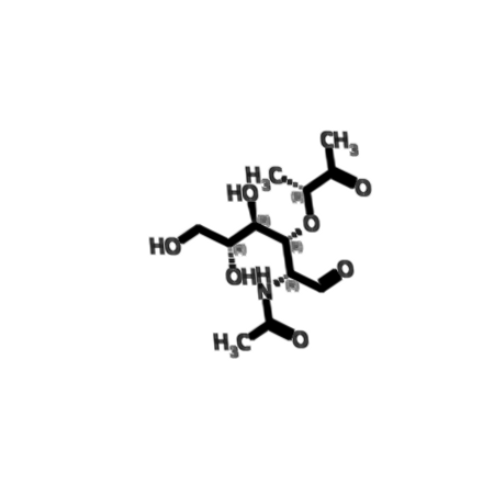 CC(=O)N[C@@H](C=O)[C@@H](O[C@H](C)C(C)=O)[C@H](O)[C@H](O)CO